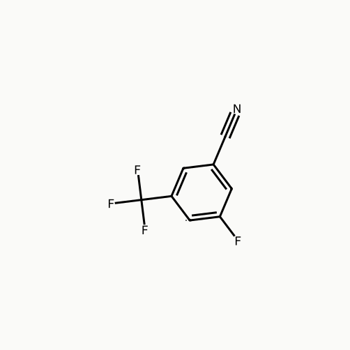 N#Cc1cc(F)[c]c(C(F)(F)F)c1